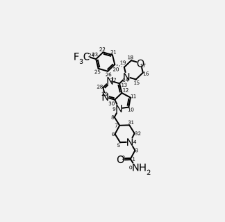 NC(=O)CN1CCC(Cn2ccc3c(N4CCOC[C@H]4c4ccc(C(F)(F)F)cc4)ncnc32)CC1